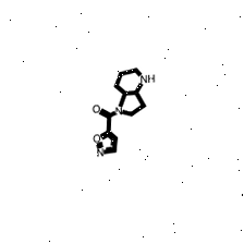 O=C(c1ccno1)N1CCC2NCCCC21